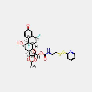 CCCC1O[C@@H]2CC3[C@@H]4C[C@H](F)C5=CC(=O)C=C[C@]5(C)[C@@]4(F)[C@@H](O)C[C@]3(C)[C@]2(C(=O)COC(=O)NCCSSc2ccccn2)O1